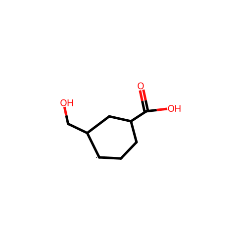 O=C(O)C1CC[CH]C(CO)C1